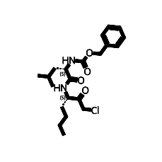 CCCC[C@H](NC(=O)[C@H](CC(C)C)NC(=O)OCc1ccccc1)C(=O)CCl